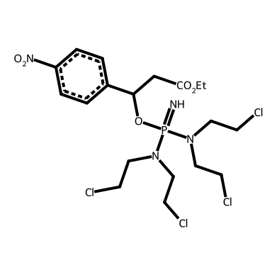 CCOC(=O)CC(OP(=N)(N(CCCl)CCCl)N(CCCl)CCCl)c1ccc([N+](=O)[O-])cc1